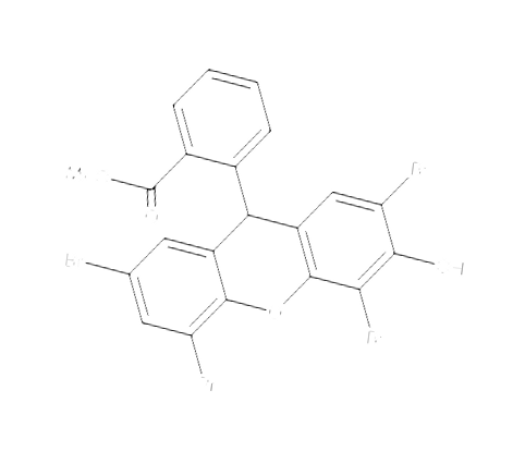 COC(=O)c1ccccc1C1c2cc(Br)cc(Br)c2Oc2c1cc(Br)c(O)c2Br